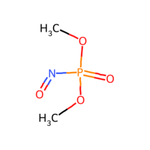 COP(=O)(N=O)OC